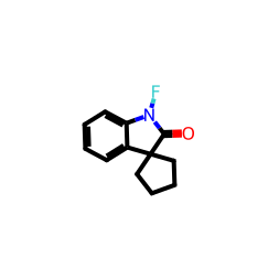 O=C1N(F)c2ccccc2C12CCCC2